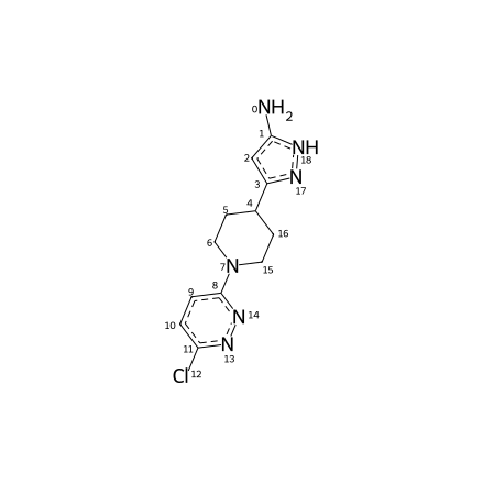 Nc1cc(C2CCN(c3ccc(Cl)nn3)CC2)n[nH]1